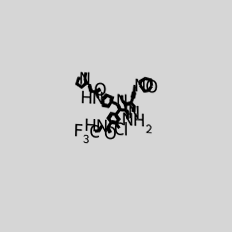 CN1CCC[C@@H]1/C=C/C(=O)Nc1ccc(-c2c(-c3ccc(C(=O)NCC(F)(F)F)c(Cl)c3)c3c(N)ncc(C#CCN4CCCOCC4)c3n2C)cc1